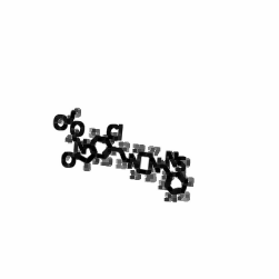 CC(=O)OCN1C(=O)Cc2cc(CCN3CCN(c4nsc5ccccc45)CC3)c(Cl)cc21